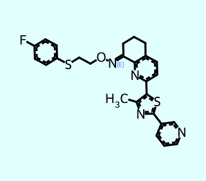 Cc1nc(-c2cccnc2)sc1-c1ccc2c(n1)/C(=N/OCCSc1ccc(F)cc1)CCC2